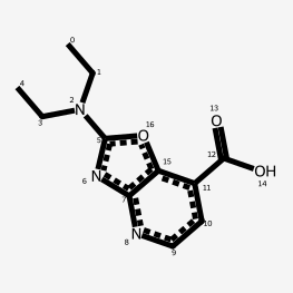 CCN(CC)c1nc2nccc(C(=O)O)c2o1